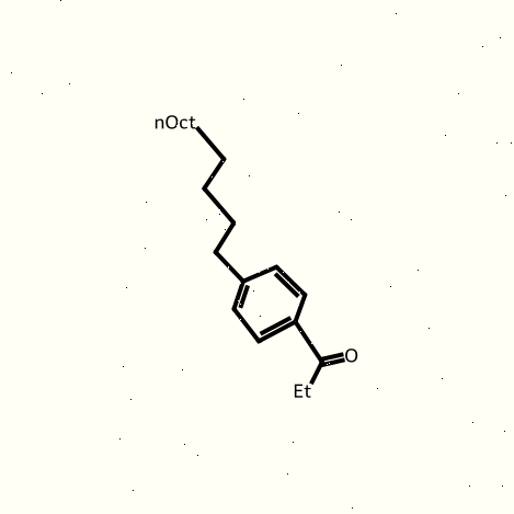 CCCCCCCCCCCCc1ccc(C(=O)CC)cc1